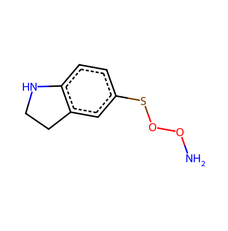 NOOSc1ccc2c(c1)CCN2